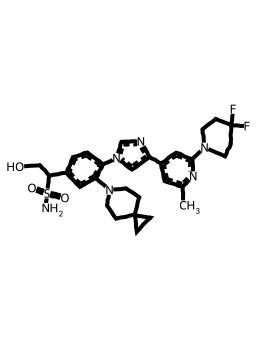 Cc1cc(-c2cn(-c3ccc(C(CO)S(N)(=O)=O)cc3N3CCC4(CC3)CC4)cn2)cc(N2CCC(F)(F)CC2)n1